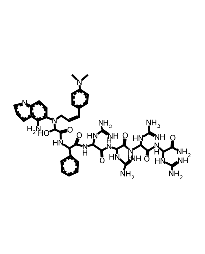 CN(C)c1ccc(/C=C\CN(c2ccc3ncccc3c2N)C(O)C(=O)NC(C(=O)NC(NC(=N)N)C(=O)NC(NC(=N)N)C(=O)NC(NC(=N)N)C(=O)NC(NC(=N)N)C(N)=O)c2ccccc2)cc1